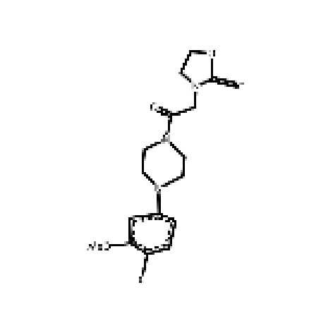 COc1cc(N2CCN(C(=O)CN3CCOC3=O)CC2)ccc1Cl